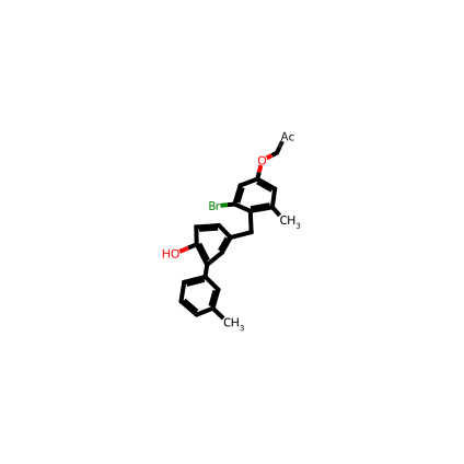 CC(=O)COc1cc(C)c(Cc2ccc(O)c(-c3cccc(C)c3)c2)c(Br)c1